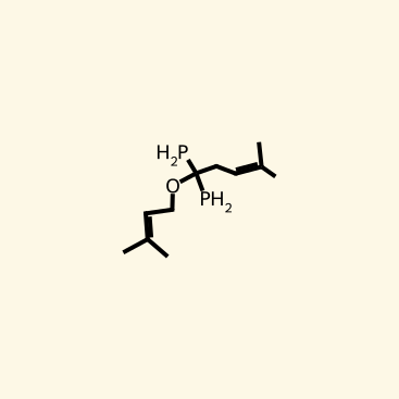 CC(C)=CCOC(P)(P)CC=C(C)C